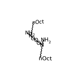 CCCCCCCC/C=C/CCCCCCCCN(CCCN)CCOCCOCCOCCN(CCCN)CCCCCCCC/C=C/CCCCCCCC